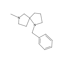 CN1CCC2(CCCN2Cc2ccccc2)C1